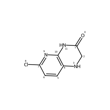 O=C1CNc2ccc(Cl)nc2N1